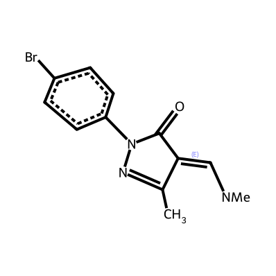 CN/C=C1/C(=O)N(c2ccc(Br)cc2)N=C1C